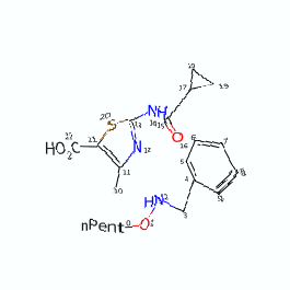 CCCCCONCc1ccccc1.Cc1nc(NC(=O)C2CC2)sc1C(=O)O